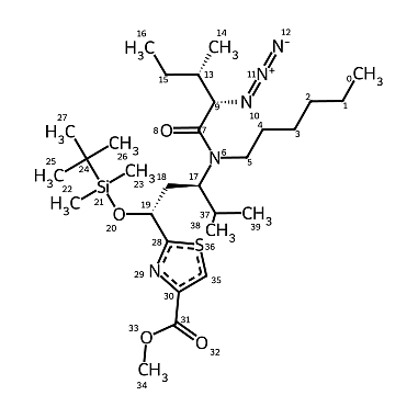 CCCCCCN(C(=O)[C@@H](N=[N+]=[N-])[C@@H](C)CC)[C@H](C[C@@H](O[Si](C)(C)C(C)(C)C)c1nc(C(=O)OC)cs1)C(C)C